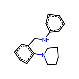 c1ccc(NCc2ccccc2N2CCCCC2)cc1